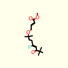 COC(=O)/C=C/COC(C)(C)CC/C(F)=C/C(=O)C(C)(C)C